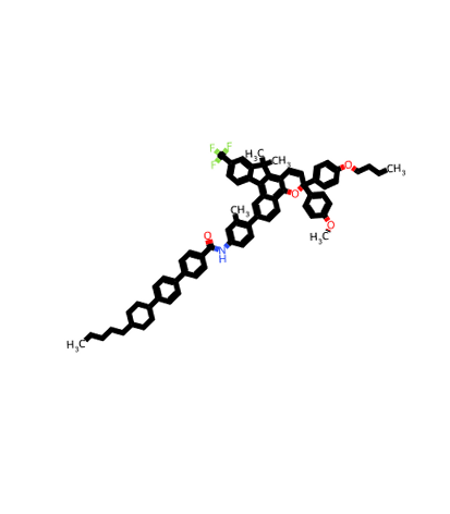 CCCCCC1CCC(c2ccc(-c3ccc(C(=O)Nc4ccc(-c5ccc6c7c(c8c(c6c5)-c5ccc(C(F)(F)F)cc5C8(C)C)C=CC(c5ccc(OC)cc5)(c5ccc(OCCCC)cc5)O7)c(C)c4)cc3)cc2)CC1